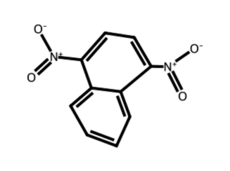 O=[N+]([O-])c1ccc([N+](=O)[O-])c2ccccc12